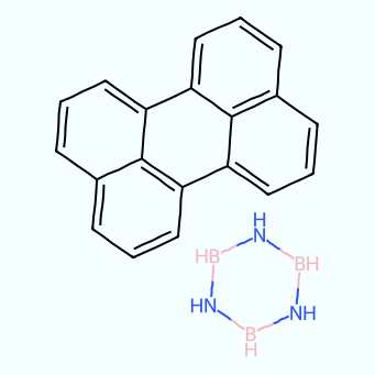 B1NBNBN1.c1cc2cccc3c4cccc5cccc(c(c1)c23)c54